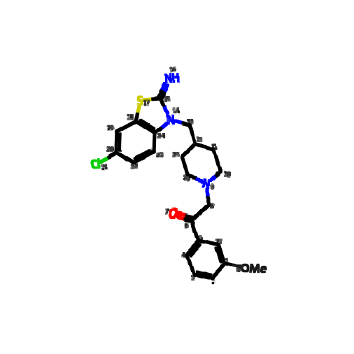 COc1cccc(C(=O)CN2CCC(Cn3c(=N)sc4cc(Cl)ccc43)CC2)c1